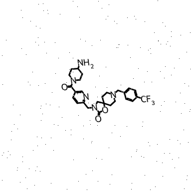 NC1CCN(C(=O)c2ccc(CN3CC4(CCN(Cc5ccc(C(F)(F)F)cc5)CC4)OC3=O)nc2)CC1